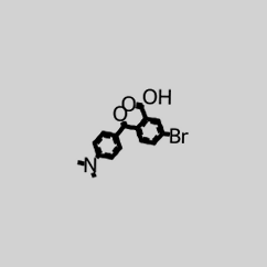 CN(C)c1ccc(C(=O)c2ccc(Br)cc2C(=O)O)cc1